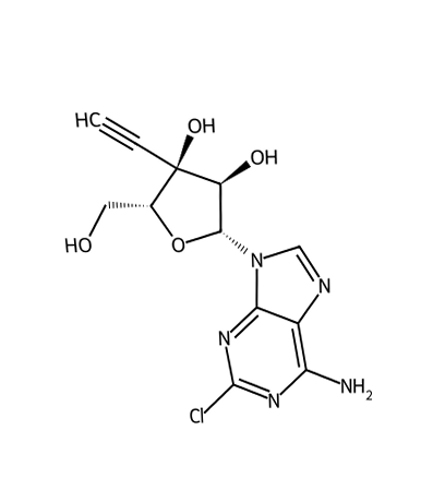 C#C[C@@]1(O)[C@@H](CO)O[C@@H](n2cnc3c(N)nc(Cl)nc32)[C@@H]1O